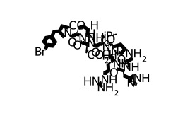 CC(C)C[C@H](NC(=O)[C@@H]1CCCN1C(=O)[C@H](CCCNC(=N)N)NC(=O)[C@H](Cc1c[nH]cn1)NC(=O)CN)C(=O)N[C@@H](CC(=O)O)C(=O)N[C@@H](CCCCN)C(=O)N1CC(Cc2ccc(Br)cc2)C[C@H]1C(=O)O